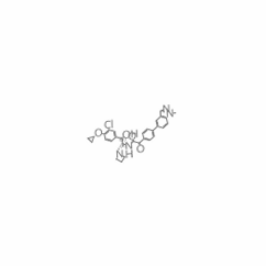 Cn1ncc2cc(-c3ccc(C(=O)C(=O)N[C@H](CN4CCC4)[C@H](O)c4ccc(OC5CC5)c(Cl)c4)cc3)ccc21